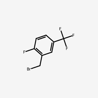 Fc1ccc(C(F)(F)F)cc1CBr